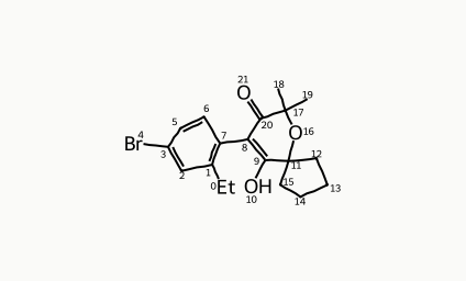 CCc1cc(Br)ccc1C1=C(O)C2(CCCC2)OC(C)(C)C1=O